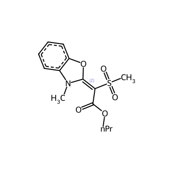 CCCOC(=O)/C(=C1/Oc2ccccc2N1C)S(C)(=O)=O